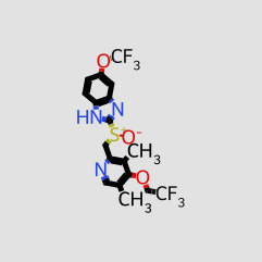 Cc1cnc(C[S@@+]([O-])c2nc3cc(OC(F)(F)F)ccc3[nH]2)c(C)c1OCC(F)(F)F